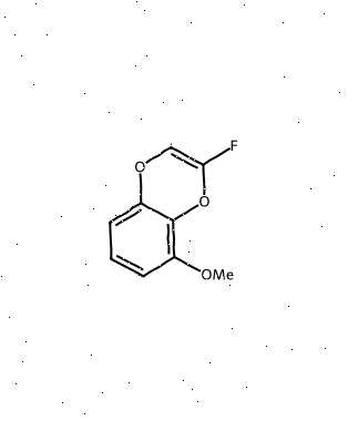 COc1cccc2c1OC(F)=[C]O2